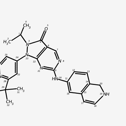 CC(C)n1c(=O)c2cnc(Nc3ccc4c(c3)C=CNC4)nc2n1-c1ccnc(C(C)(C)C)c1